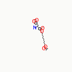 C=C(C)C(=O)OCCCCCCCCCCCOc1ccc(C(C#N)=Cc2ccc3c(c2)OCCO3)cc1OC